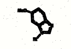 CCn1cnc2ccc(OC)cc21